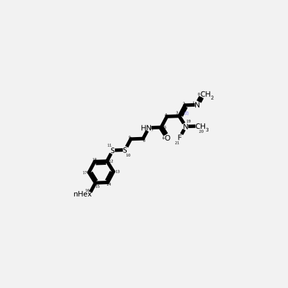 C=N/C=C(/CC(=O)NCCSSc1ccc(CCCCCC)cc1)N(C)F